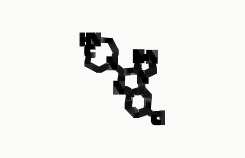 Clc1ccc2nc(N3CCCNCC3)c3nncn3c2c1